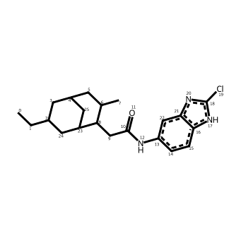 CCC1CC2CC(C)C(CC(=O)Nc3ccc4[nH]c(Cl)nc4c3)C(C1)C2